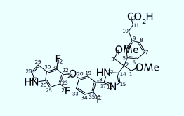 COCC(COC)(c1cccc(CCC(=O)O)c1)c1cnc(-c2cc(Oc3c(F)cc4[nH]ccc4c3F)ccc2F)[nH]1